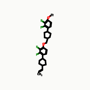 C/C=C/C1CCC(c2ccc(OCC3CCC(c4ccc(OCC)c(F)c4F)CC3)c(F)c2F)CC1